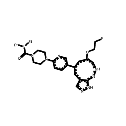 CCN(CC)C(=O)N1CCN(c2ccc(-c3cc(OCCF)c[nH]nc4[nH]ncc4c3)cn2)CC1